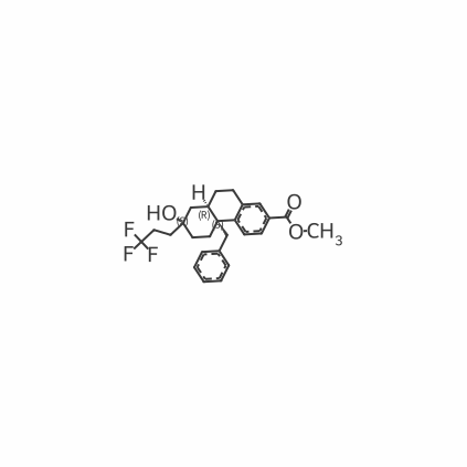 COC(=O)c1ccc2c(c1)CC[C@@H]1C[C@@](O)(CCC(F)(F)F)CC[C@@]21Cc1ccccc1